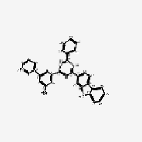 Brc1cc(-c2cccnc2)cc(-c2cc(-c3ccc4c(c3)sc3ccccc34)nc(-c3ccccc3)n2)c1